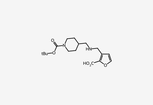 CC(C)(C)OC(=O)N1CCC(CNCc2ccoc2C(=O)O)CC1